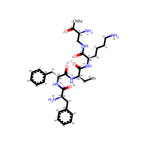 COC(=O)[C@@H](N)CNC(=O)[C@@H](CCCCN)NC(=O)[C@@H](CC(C)C)NC(=O)[C@@H](Cc1ccccc1)NC(=O)[C@H](N)Cc1ccccc1